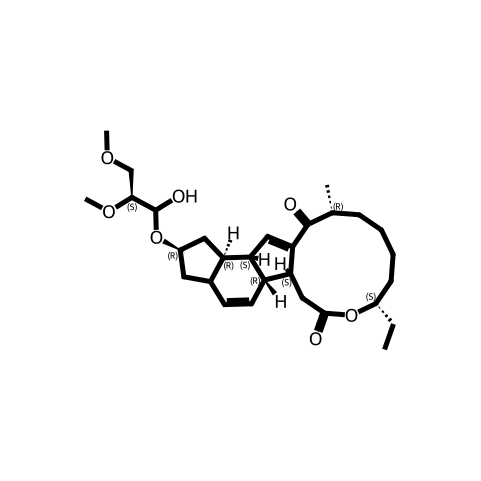 CC[C@H]1CCCC[C@@H](C)C(=O)C2=C[C@@H]3[C@@H](C=CC4C[C@@H](OC(O)[C@H](COC)OC)C[C@H]43)[C@@H]2CC(=O)O1